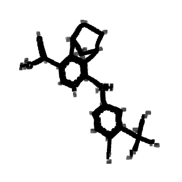 O=C(O)c1cnc(Nc2ccc(F)c(C(F)(F)F)c2)c2c1C1CCC2C1